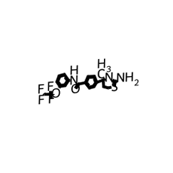 CC1(c2ccc(C(=O)Nc3cccc(OC(F)(F)C(F)F)c3)cc2)CCSC(N)=N1